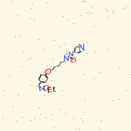 CCO/N=C\c1ccc(OCCCCCN2CCN(c3ccncc3)C2=O)cc1